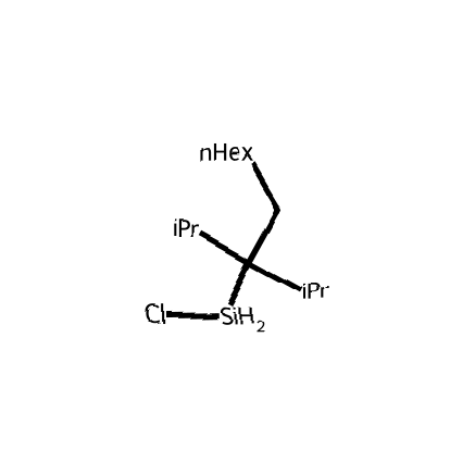 CCCCCCCC([SiH2]Cl)(C(C)C)C(C)C